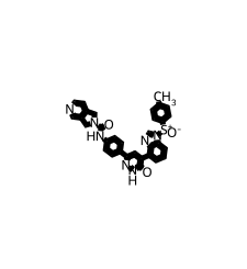 Cc1ccc([S+]([O-])n2cnc3c(-c4cc(-c5ccc(NC(=O)N6Cc7ccncc7C6)cc5)n[nH]c4=O)cccc32)cc1